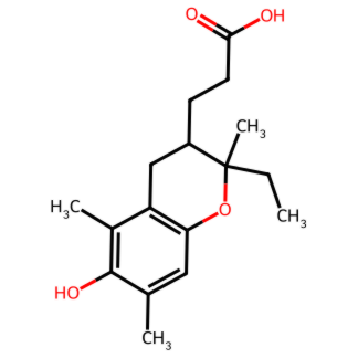 CCC1(C)Oc2cc(C)c(O)c(C)c2CC1CCC(=O)O